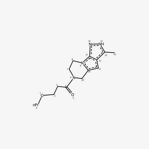 CCCOCCC(=O)N1CCn2c(cc3c(C)[nH]nc32)C1